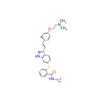 CN(C)CCOc1ccc(/C=C/c2n[nH]c3cc(Sc4ccccc4C(=O)NC4CC4)ccc23)nc1